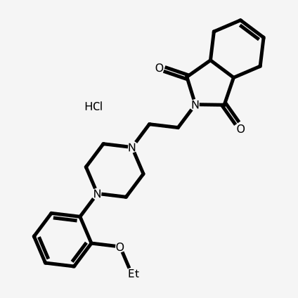 CCOc1ccccc1N1CCN(CCN2C(=O)C3CC=CCC3C2=O)CC1.Cl